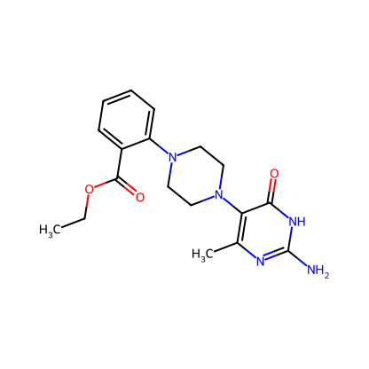 CCOC(=O)c1ccccc1N1CCN(c2c(C)nc(N)[nH]c2=O)CC1